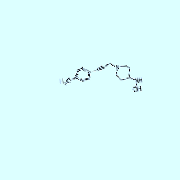 [CH2]c1ccc(C#CCN2CCC(NO)CC2)cc1